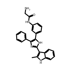 Cc1[nH]c2ccccc2c1-c1nc(-c2ccccc2)c(-c2cccc(NC(=O)CN)c2)[nH]1